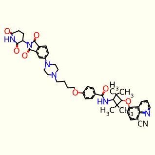 CC1(C)C(NC(=O)c2ccc(OCCCCN3CCN(c4ccc5c(c4)C(=O)N(C4CCC(=O)NC4=O)C5=O)CC3)cc2)C(C)(C)C1Oc1ccc(C#N)c2ncccc12